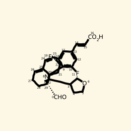 O=C[C@@H]1C(C2CCOC2)N(c2c(F)cc(C=CC(=O)O)cc2F)C23CCN=CC2=CCCC13